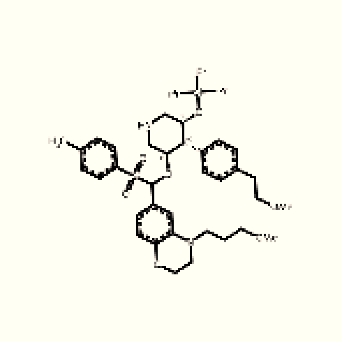 COCCCN1CCOc2ccc(C(O[C@H]3CNC[C@@H](O[Si](C(C)C)(C(C)C)C(C)C)[C@@H]3c3ccc(CCOC)cc3)S(=O)(=O)c3ccc(C)cc3)cc21